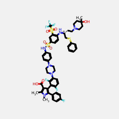 Cc1c(C(=O)O)c(-c2c(F)ccc(N3CCN(c4ccc(NS(=O)(=O)c5ccc(N[C@H](CCN6CCC(C)(O)CC6)CSc6ccccc6)c(S(=O)(=O)C(F)(F)F)c5)cc4)CC3)c2F)c(-c2ccc(F)cc2)n1C